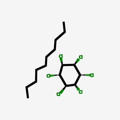 CCCCCCCCCC.Cl[C@H]1[C@H](Cl)[C@@H](Cl)[C@@H](Cl)[C@H](Cl)[C@H]1Cl